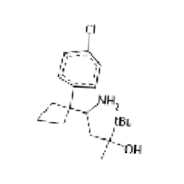 CC(C)(C)C(C)(O)CC(N)C1(c2ccc(Cl)cc2)CCC1